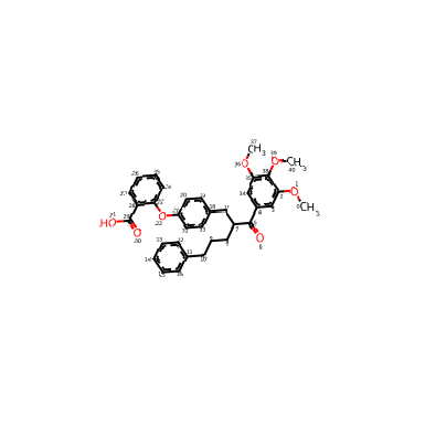 COc1cc(C(=O)C(CCCc2ccccc2)Cc2ccc(Oc3ccccc3C(=O)O)cc2)cc(OC)c1OC